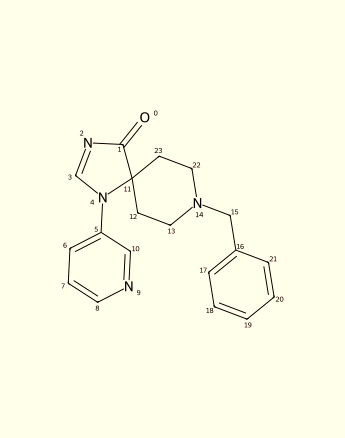 O=C1N=CN(c2cccnc2)C12CCN(Cc1ccccc1)CC2